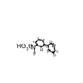 CN(C(=O)O)c1cccc(-c2cccnc2)c1